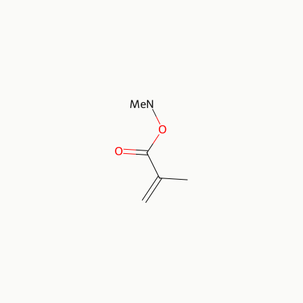 C=C(C)C(=O)ONC